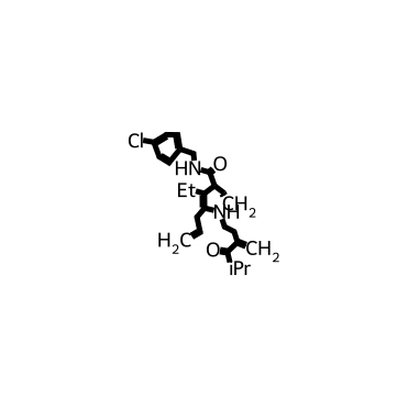 C=CC/C(NCCC(=C)C(=O)C(C)C)=C(\CC)C(C=C)C(=O)NCc1ccc(Cl)cc1